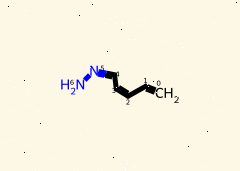 C=C/C=C\C=N/N